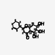 O=c1cc(C2=CCCC=C2)oc2c1=C(O)C(O)C(O)C=2